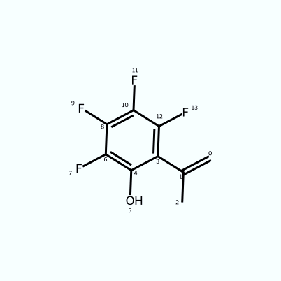 C=C(C)c1c(O)c(F)c(F)c(F)c1F